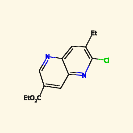 CCOC(=O)c1cnc2cc(CC)c(Cl)nc2c1